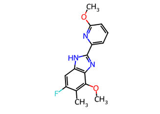 COc1cccc(-c2nc3c(OC)c(C)c(F)cc3[nH]2)n1